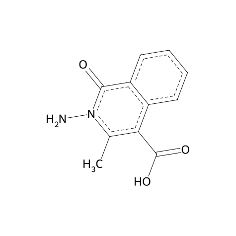 Cc1c(C(=O)O)c2ccccc2c(=O)n1N